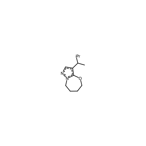 CC(C)C(C)c1cnn2c1OCCCC2